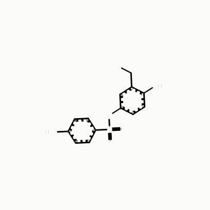 Cc1ccc(S(=O)(=O)Oc2ccc(C)c(CS(=O)(=O)O)c2)cc1